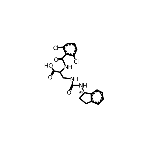 O=C(NCC(NC(=O)c1c(Cl)cccc1Cl)C(=O)O)N[C@@H]1CCc2ccccc21